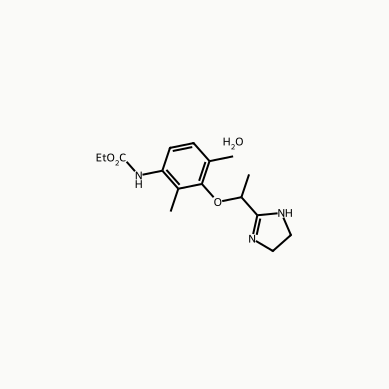 CCOC(=O)Nc1ccc(C)c(OC(C)C2=NCCN2)c1C.O